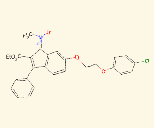 CCOC(=O)C1=C(c2ccccc2)c2ccc(OCCOc3ccc(Cl)cc3)cc2/C1=[N+](/C)[O-]